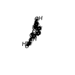 COc1nc(-c2cccc(-c3cccc(-c4nnc5n4CCN(CCO)C5)c3Cl)c2Cl)ccc1CNC[C@H]1CCC(=O)N1